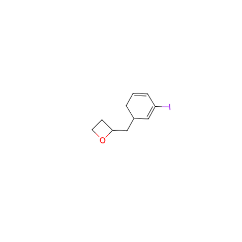 IC1=CC(CC2CCO2)CC=C1